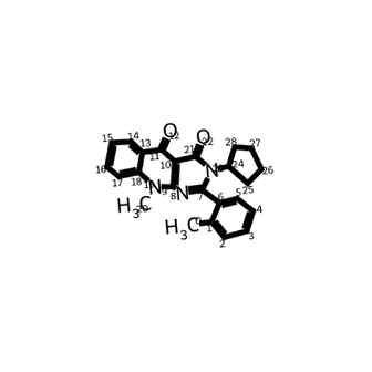 Cc1ccccc1-c1nc2c(c(=O)c3ccccc3n2C)c(=O)n1C1CCCC1